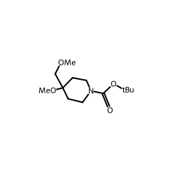 COCC1(OC)CCN(C(=O)OC(C)(C)C)CC1